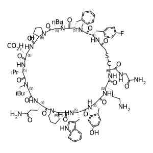 CCCC[C@H]1C(=O)N2CCC[C@@H]2C(=O)N[C@@H](CC(=O)O)C(=O)N[C@@H](C(C)C)C(=O)N(C)[C@@H](C(C)CC)C(=O)N[C@@H](CCC(N)=O)C(=O)N2CCCC[C@@H]2C(=O)N[C@@H](Cc2c[nH]c3ccccc23)C(=O)N[C@@H](Cc2ccc(O)cc2)C(=O)N[C@@H](CCCN)C(=O)N[C@H](C(=O)NCC(N)=O)CSCC(=O)N[C@@H](Cc2ccc(F)cc2)C(=O)N(C)[C@@H](Cc2ccccc2)C(=O)N1C